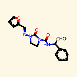 O=[C]C(NC(=O)N1CCN(N=Cc2ccco2)C1=O)c1ccccc1